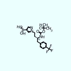 CC(C)(C)OC(=O)N[C@H](CCn1cc(B(O)O)cn1)Cc1ccc(C(F)(F)F)cc1